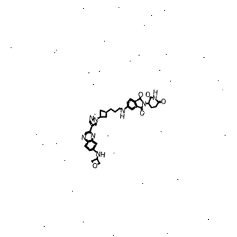 O=C1CCC(N2C(=O)c3ccc(NCCCC4CC(n5cc(-c6cnc7ccc(NC8COC8)cc7n6)cn5)C4)cc3C2=O)C(=O)N1